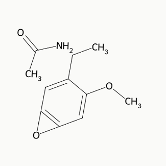 CC(N)=O.CCc1cc2c(cc1OC)O2